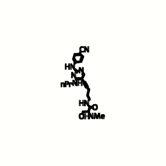 CCCNc1nc(Nc2ccc(C#N)cc2)ncc1C#CCCCNC(=O)[C@H](CO)NC